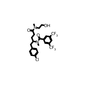 CN(CCO)C(=O)CCC(Cc1ccc(Cl)cc1)N(C)C(=O)c1cc(C(F)(F)F)cc(C(F)(F)F)c1